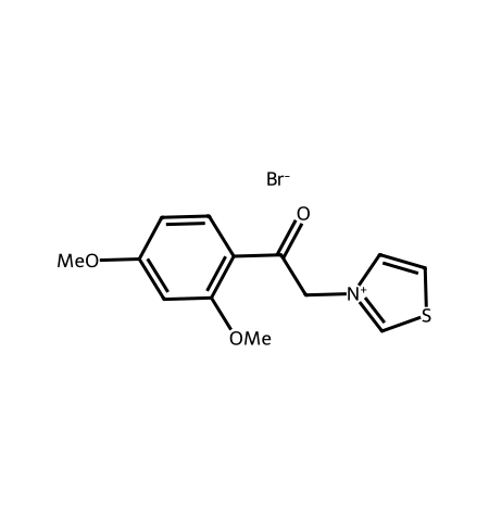 COc1ccc(C(=O)C[n+]2ccsc2)c(OC)c1.[Br-]